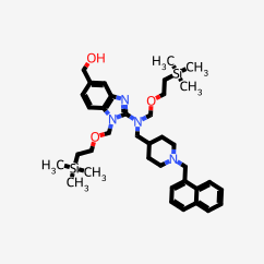 C[Si](C)(C)CCOCN(CC1CCN(Cc2cccc3ccccc23)CC1)c1nc2cc(CO)ccc2n1COCC[Si](C)(C)C